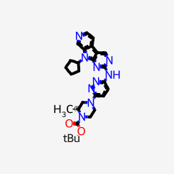 C[C@@H]1CN(c2ccc(Nc3ncc4c5ccncc5n(C5CCCC5)c4n3)nn2)CCN1C(=O)OC(C)(C)C